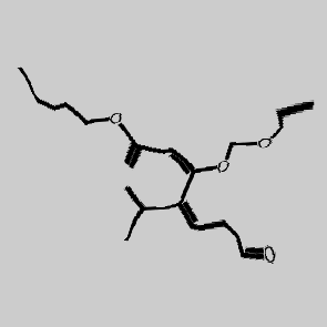 C=C(/C=C(OCOCC)\C(=C/CC=O)C(C)C)OCCCC